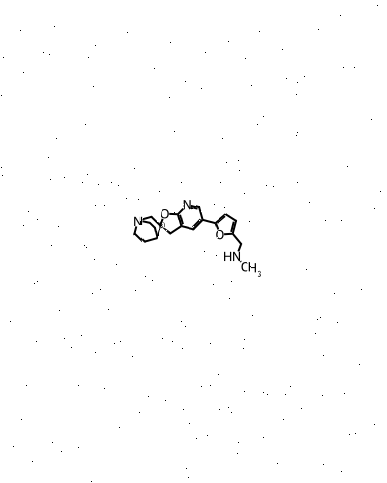 CNCc1ccc(-c2cnc3c(c2)C[C@@]2(CN4CCC2CC4)O3)o1